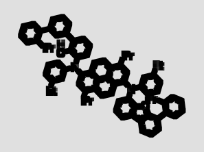 CCc1cccc(N(c2cccc(-c3cccc(-c4ccccc4C(C)C)c3)c2O)c2cc(C(C)C)c3ccc4c(N(c5cccc(CC)c5)c5cccc6c5oc5c(-c7ccccc7C(C)C)cccc56)cc(C(C)C)c5ccc2c3c54)c1